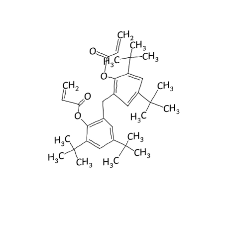 C=CC(=O)Oc1c(Cc2cc(C(C)(C)C)cc(C(C)(C)C)c2OC(=O)C=C)cc(C(C)(C)C)cc1C(C)(C)C